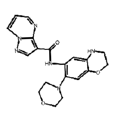 O=C(Nc1cc2c(cc1N1CCOCC1)OCCN2)c1cnn2cccnc12